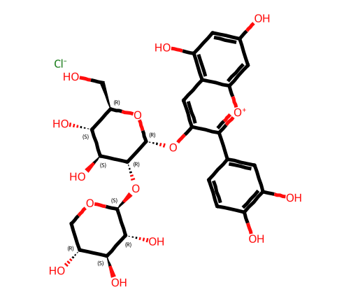 OC[C@H]1O[C@H](Oc2cc3c(O)cc(O)cc3[o+]c2-c2ccc(O)c(O)c2)[C@H](O[C@@H]2OC[C@@H](O)[C@H](O)[C@H]2O)[C@@H](O)[C@@H]1O.[Cl-]